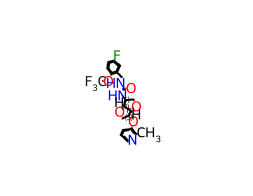 Cc1ncccc1O[C@H]1CO[C@H]2[C@@H]1OC[C@@H]2NC(=O)NCc1cc(F)ccc1OC(F)(F)F